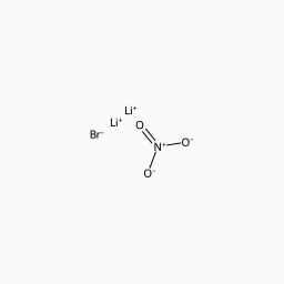 O=[N+]([O-])[O-].[Br-].[Li+].[Li+]